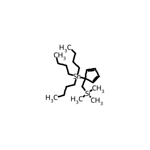 CCC[CH2][Sn]([CH2]CCC)([CH2]CCC)[C]1(C[Si](C)(C)C)C=CC=C1